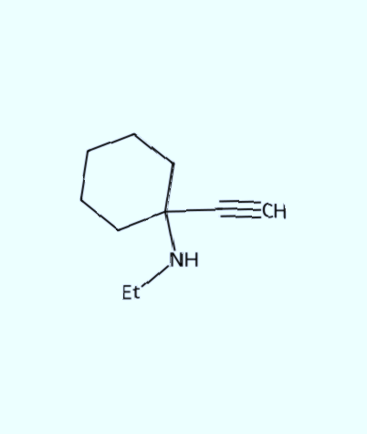 C#CC1(NCC)CCCCC1